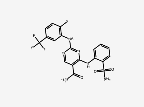 NC(=O)c1cnc(Nc2cc(C(F)(F)F)ccc2F)nc1Nc1ccccc1S(N)(=O)=O